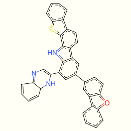 C1=CC2=NC=C(c3cc(-c4ccc5oc6ccccc6c5c4)cc4c3[nH]c3c4ccc4c5ccccc5sc43)NC2C=C1